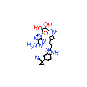 CN(C[C@H]1O[C@@H](n2cnc3c(N)ncnc32)[C@H](O)[C@@H]1O)C1CC(CCc2nc3cc(C4(C#N)CC4)ccc3[nH]2)C1